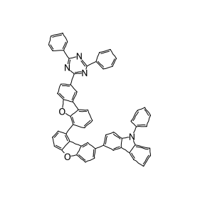 c1ccc(-c2nc(-c3ccccc3)nc(-c3ccc4oc5c(-c6cccc7oc8ccc(-c9ccc%10c(c9)c9ccccc9n%10-c9ccccc9)cc8c67)cccc5c4c3)n2)cc1